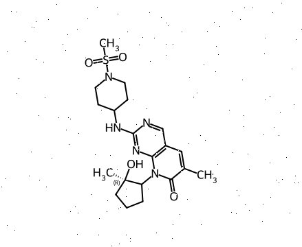 Cc1cc2cnc(NC3CCN(S(C)(=O)=O)CC3)nc2n(C2CCC[C@@]2(C)O)c1=O